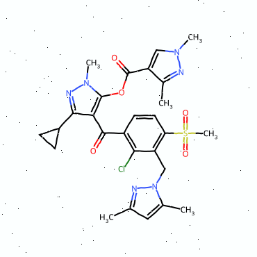 Cc1cc(C)n(Cc2c(S(C)(=O)=O)ccc(C(=O)c3c(C4CC4)nn(C)c3OC(=O)c3cn(C)nc3C)c2Cl)n1